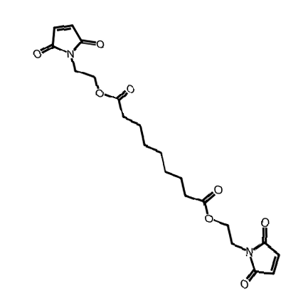 O=C(CCCCCCCC(=O)OCCN1C(=O)C=CC1=O)OCCN1C(=O)C=CC1=O